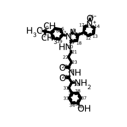 CC(C)(C)c1ccc(-n2nc(-c3ccc[n+]([O-])c3)cc2NCCCC(=O)NC(=O)C(N)Cc2ccc(O)cc2)cc1